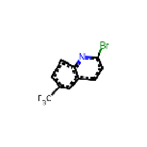 FC(F)(F)c1ccc2nc(Br)ccc2c1